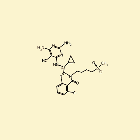 CS(=O)(=O)CCCCn1c([C@@H](Nc2nc(N)nc(N)c2C#N)C2CC2)nc2cccc(Cl)c2c1=O